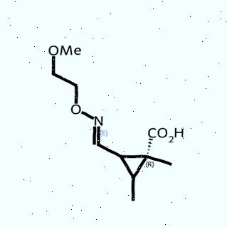 COCCO/N=C/C1C(C)[C@@]1(C)C(=O)O